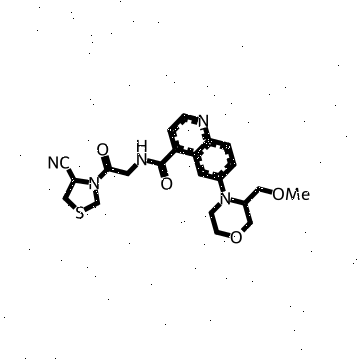 COCC1COCCN1c1ccc2nccc(C(=O)NCC(=O)N3CSCC3C#N)c2c1